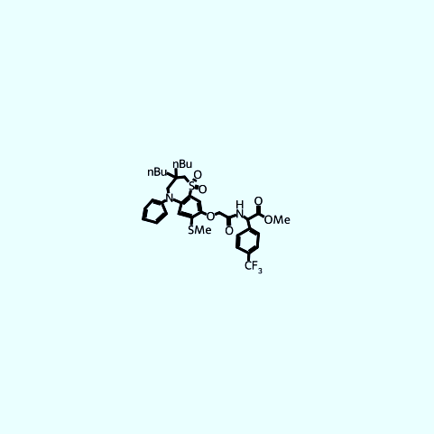 CCCCC1(CCCC)CN(c2ccccc2)c2cc(SC)c(OCC(=O)NC(C(=O)OC)c3ccc(C(F)(F)F)cc3)cc2S(=O)(=O)C1